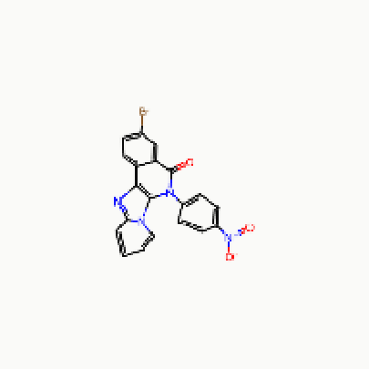 O=c1c2cc(Br)ccc2c2nc3ccccn3c2n1-c1ccc([N+](=O)[O-])cc1